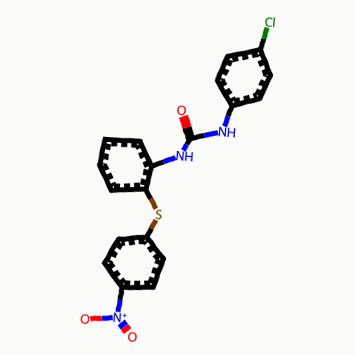 O=C(Nc1ccc(Cl)cc1)Nc1ccccc1Sc1ccc([N+](=O)[O-])cc1